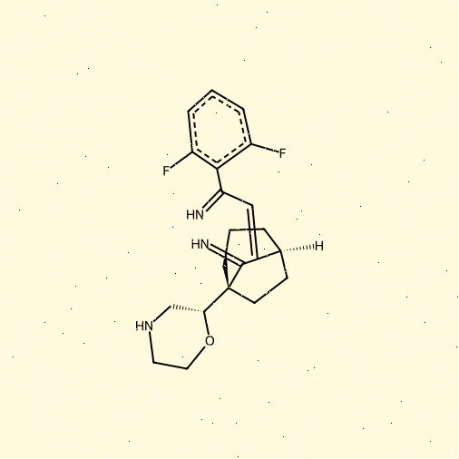 N=C(/C=C1\C(=N)[C@]2([C@H]3CNCCO3)CCC[C@H]1CC2)c1c(F)cccc1F